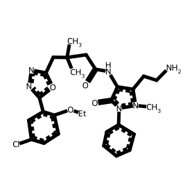 CCOc1ccc(Cl)cc1-c1nnc(CC(C)(C)CC(=O)Nc2c(CCN)n(C)n(-c3ccccc3)c2=O)o1